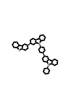 c1ccc(-n2c3ccccc3c3cc(-c4ccc(-n5c6ccccc6c6ccc(-c7ccc8sc9ccccc9c8c7)cc65)cc4)ccc32)cc1